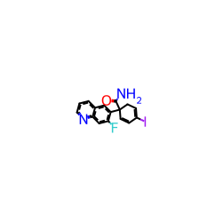 NC(=O)C1(c2cc3cccnc3cc2F)C=CC(I)=CC1